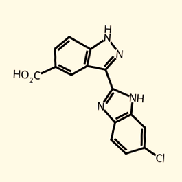 O=C(O)c1ccc2[nH]nc(-c3nc4ccc(Cl)cc4[nH]3)c2c1